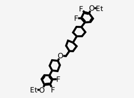 CCOc1ccc(C2CCC(OCC3CCC(C4CCC(c5ccc(OCC)c(F)c5F)CC4)CC3)CC2)c(F)c1F